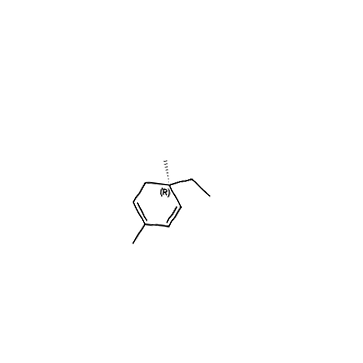 CC[C@@]1(C)C=CC(C)=CC1